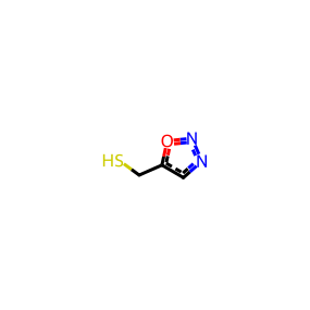 SCc1cnno1